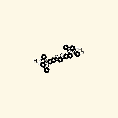 Cc1ccccc1N(c1ccc2cc3c(cc2c1)oc1c3ccc2c3cc4ccc(N(c5ccccc5C)c5cccc6c5oc5ccccc56)cc4cc3oc21)c1cccc2c1oc1ccccc12